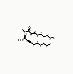 CCCCCCC#CC(=O)O.CCCCCCC=CC(=O)OC